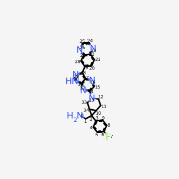 NCC1(c2ccc(F)cc2)C2CCN(c3cnc4c(-c5ccc6nccnc6c5)n[nH]c4n3)CC21